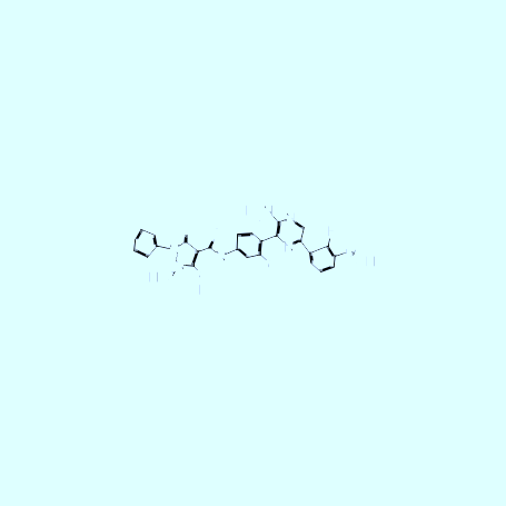 COc1cccc(-c2cnc(N)c(-c3ccc(NC(=O)c4c(C)n(C)n(-c5ccccc5)c4=O)cc3C)n2)c1F